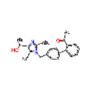 CCCCc1nc(C(O)C(C)(C)C)c(C#N)n1Cc1ccc(-c2ccccc2C(=O)C(C)=O)cc1